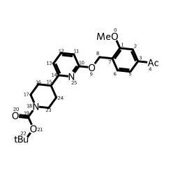 COc1cc(C(C)=O)ccc1COc1cccc(C2CCN(C(=O)OC(C)(C)C)CC2)n1